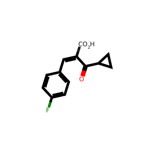 O=C(O)C(=Cc1ccc(F)cc1)C(=O)C1CC1